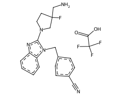 N#Cc1ccc(Cn2c(N3CCC(F)(CN)C3)nc3ccccc32)cc1.O=C(O)C(F)(F)F